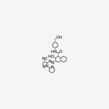 [C-]#[N+]c1cnn(-c2ccccn2)c1/N=N/c1cc2ccccc2c(C(=O)Nc2ccc(CO)cc2)c1O